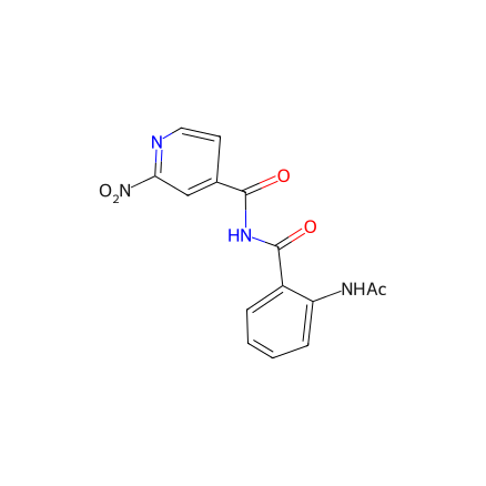 CC(=O)Nc1ccccc1C(=O)NC(=O)c1ccnc([N+](=O)[O-])c1